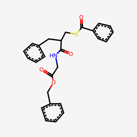 O=C(CNC(=O)C(CSC(=O)c1ccccc1)Cc1ccccc1)OCc1ccccc1